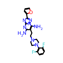 Nc1nc2nc(-c3ccco3)nn2c(N)c1CCN1CCN(c2c(F)cccc2F)CC1